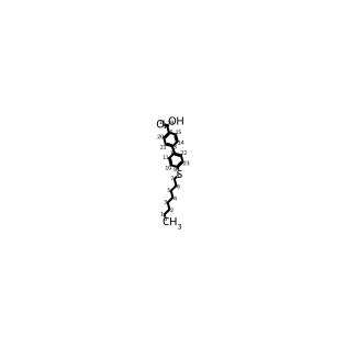 CCCCCCCCSc1ccc(-c2ccc(C(=O)O)cc2)cc1